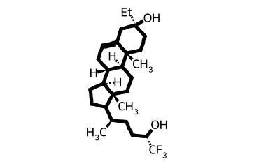 CC[C@]1(O)CC[C@@]2(C)C(=CC[C@@H]3[C@@H]2CC[C@]2(C)C([C@H](C)CC[C@H](O)C(F)(F)F)CC[C@@H]32)C1